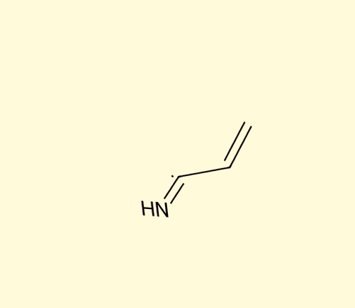 C=C[C]=N